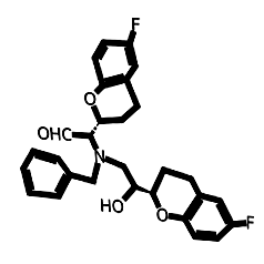 O=CC([C@H]1CCc2cc(F)ccc2O1)N(Cc1ccccc1)CC(O)[C@H]1CCc2cc(F)ccc2O1